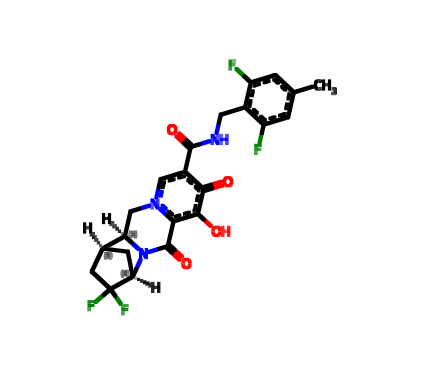 Cc1cc(F)c(CNC(=O)c2cn3c(c(O)c2=O)C(=O)N2[C@H](C3)[C@H]3C[C@@H]2C(F)(F)C3)c(F)c1